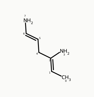 CC=C(N)CC=CN